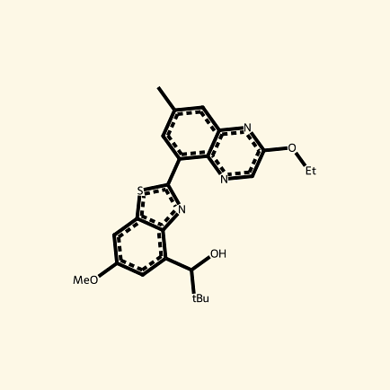 CCOc1cnc2c(-c3nc4c(C(O)C(C)(C)C)cc(OC)cc4s3)cc(C)cc2n1